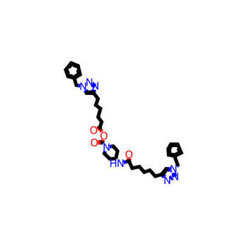 O=C(CCCCCc1cn(Cc2ccccc2)nn1)NC1CCN(C(=O)OC(=O)CCCCCc2cn(Cc3ccccc3)nn2)CC1